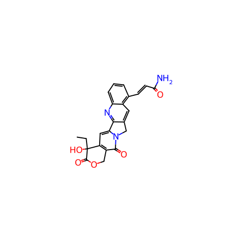 CCC1(O)C(=O)OCc2c1cc1n(c2=O)Cc2cc3c(C=CC(N)=O)cccc3nc2-1